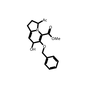 COC(=O)C1=C(OCc2ccccc2)C(O)C=C2CCC(C(C)=O)N21